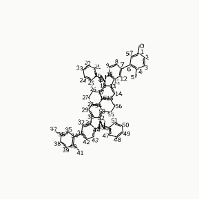 Cc1ccc(C)c(-c2ccc3c(c2)c2cc4c5c(c2n3-c2ccccc2)CCc2cc3c6cc(-c7cc(C)ccc7C)ccc6n(-c6ccccc6)c3c(c2-5)CC4)c1